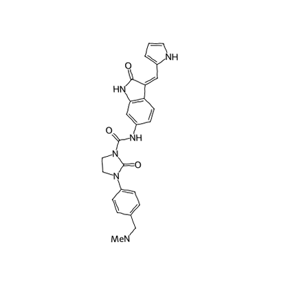 CNCc1ccc(N2CCN(C(=O)Nc3ccc4c(c3)NC(=O)/C4=C\c3ccc[nH]3)C2=O)cc1